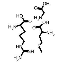 CSCCC(N)C(=O)O.N=C(N)NCCCC(N)C(=O)O.NCC(=O)O